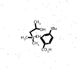 CC(C)(C)c1ccc(C(=O)O)cc1.CC(O)C[N+](C)(C)C